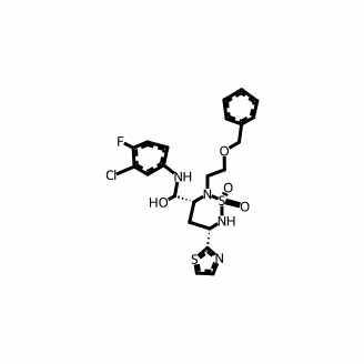 O=S1(=O)N[C@H](c2nccs2)C[C@H](C(O)Nc2ccc(F)c(Cl)c2)N1CCOCc1ccccc1